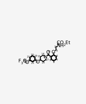 CCOC(=O)NCCOc1ccccc1C(=O)N1CCC(Oc2cccc(OC(F)(F)F)c2)CC1